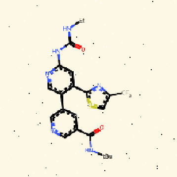 CCNC(=O)Nc1cc(-c2nc(C(F)(F)F)cs2)c(-c2cncc(C(=O)NC(C)(C)C)c2)cn1